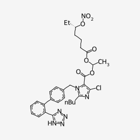 CCCCc1nc(Cl)c(C(=O)OC(C)OC(=O)CCC[C@H](CC)O[N+](=O)[O-])n1Cc1ccc(-c2ccccc2-c2nnn[nH]2)cc1